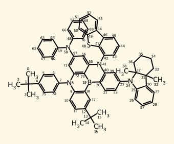 CC(C)(C)c1ccc(N2c3ccc(C(C)(C)C)cc3B3c4ccc(N5c6ccccc6C6(C)CCCCC56C)cc4N(c4cccc5c4sc4ccccc45)c4cc(N(c5ccccc5)c5ccccc5)cc2c43)cc1